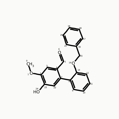 COc1cc(C=O)c(-c2ccccc2OCc2ccccc2)cc1O